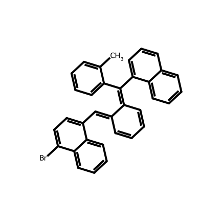 Cc1ccccc1/C(c1cccc2ccccc12)=c1/cccc/c1=C\c1ccc(Br)c2ccccc12